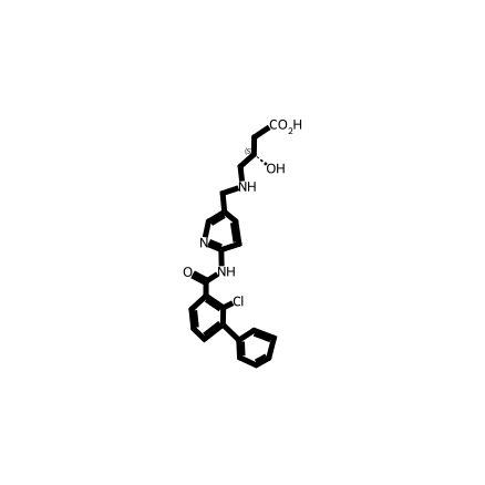 O=C(O)C[C@H](O)CNCc1ccc(NC(=O)c2cccc(-c3ccccc3)c2Cl)nc1